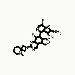 CN1CCCCC12CN(c1ncc3c4c(c(-c5ncc(F)c6sc(N)c(C#N)c56)c(F)c3n1)COC4)C2